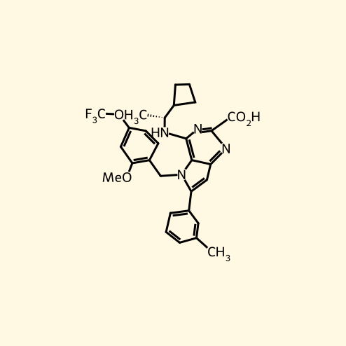 COc1cc(OC(F)(F)F)ccc1Cn1c(-c2cccc(C)c2)cc2nc(C(=O)O)nc(N[C@H](C)C3CCC3)c21